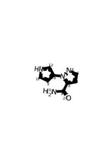 NC(=O)c1ccnn1-c1cc[nH]c1